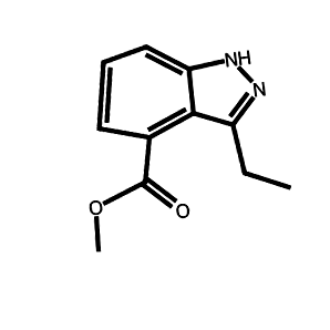 CCc1n[nH]c2cccc(C(=O)OC)c12